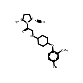 C#C[C@H]1CC[C@@H](C#N)N1C(=O)CNC1CCC(Oc2ccc(C#N)cc2OC)CC1